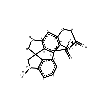 CC(=O)Nc1cccc2c1C1(COc3cc4c(cc31)OC(=O)CO4)CN2C